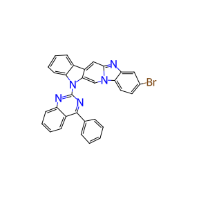 Brc1ccc2c(c1)nc1cc3c4ccccc4n(-c4nc(-c5ccccc5)c5ccccc5n4)c3cn12